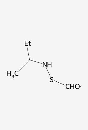 CCC(C)NS[C]=O